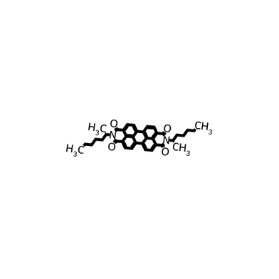 CCCCC[C@H](C)N1C(=O)c2ccc3c4ccc5c6c(ccc(c7ccc(c2c37)C1=O)c64)C(=O)N([C@@H](C)CCCCC)C5=O